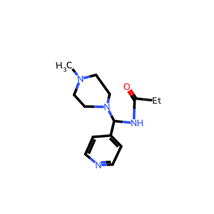 CCC(=O)NC(c1ccncc1)N1CCN(C)CC1